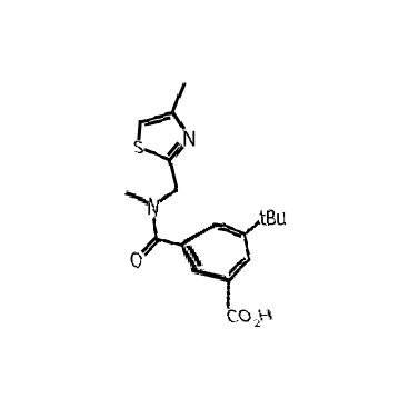 Cc1csc(CN(C)C(=O)c2cc(C(=O)O)cc(C(C)(C)C)c2)n1